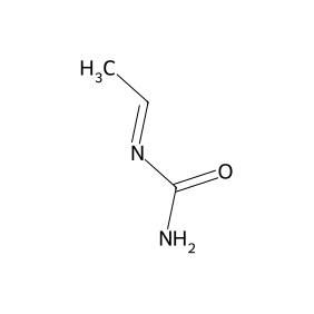 CC=NC(N)=O